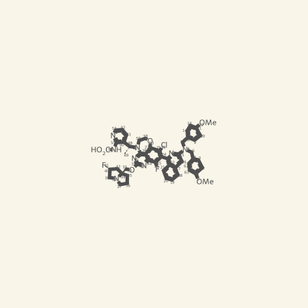 COc1ccc(CN(Cc2ccc(OC)cc2)c2cc3ccccc3c(-c3c(Cl)c4c5c(nc(OC[C@@]67CCCN6C[C@H](F)C7)nc5c3F)N([C@H](C)c3cccnc3NC(=O)O)CCO4)n2)cc1